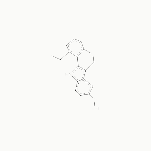 COc1ccc2[nH]c3c(c2c1)CSc1cccc(CI)c1-3